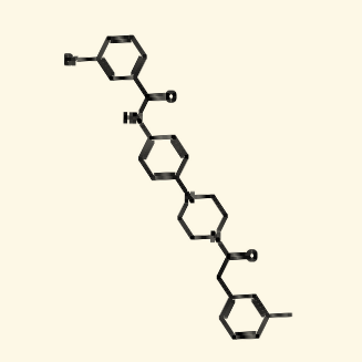 Cc1cccc(CC(=O)N2CCN(c3ccc(NC(=O)c4cccc(Br)c4)cc3)CC2)c1